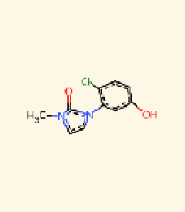 Cn1ccn(-c2cc(O)ccc2Cl)c1=O